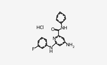 Cl.Nc1cc(Nc2cccc(F)c2)nc(C(=O)Nc2ccccc2)c1